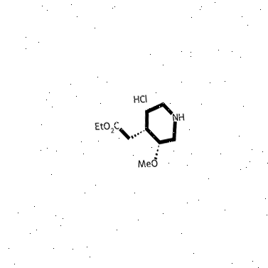 CCOC(=O)C[C@@H]1CCNC[C@@H]1OC.Cl